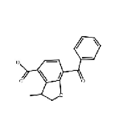 CC1COc2c(C(=O)c3ccccc3)ccc(C([O])=O)c21